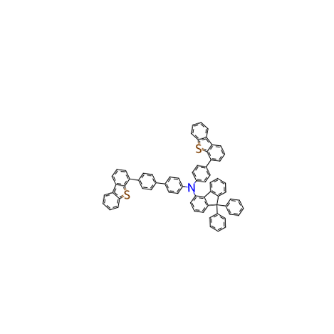 c1ccc(C2(c3ccccc3)c3ccccc3-c3c(N(c4ccc(-c5ccc(-c6cccc7c6sc6ccccc67)cc5)cc4)c4ccc(-c5cccc6c5sc5ccccc56)cc4)cccc32)cc1